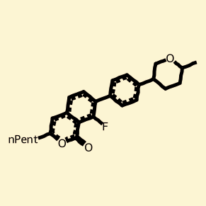 CCCCCc1cc2ccc(-c3ccc(C4CCC(C)OC4)cc3)c(F)c2c(=O)o1